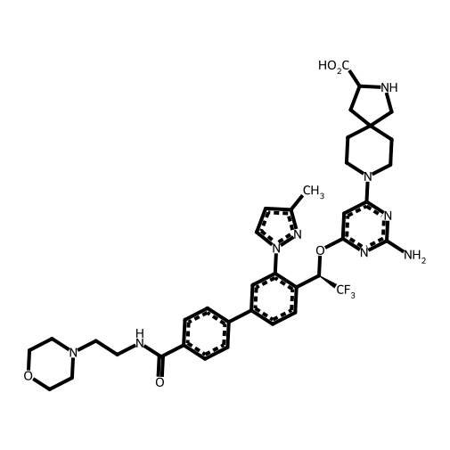 Cc1ccn(-c2cc(-c3ccc(C(=O)NCCN4CCOCC4)cc3)ccc2[C@@H](Oc2cc(N3CCC4(CC3)CNC(C(=O)O)C4)nc(N)n2)C(F)(F)F)n1